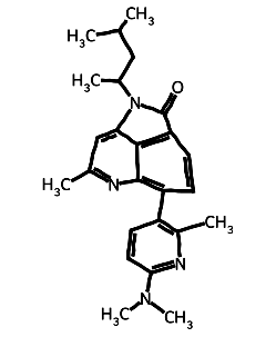 Cc1cc2c3c(ccc(-c4ccc(N(C)C)nc4C)c3n1)C(=O)N2C(C)CC(C)C